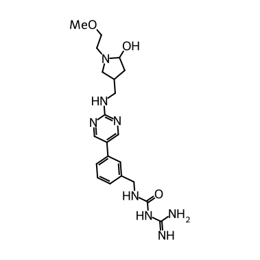 COCCN1CC(CNc2ncc(-c3cccc(CNC(=O)NC(=N)N)c3)cn2)CC1O